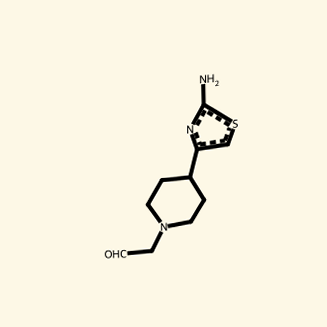 Nc1nc(C2CCN(CC=O)CC2)cs1